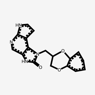 O=c1[nH]c2cnc3[nH]ccc3c2n1CC1COc2ccccc2O1